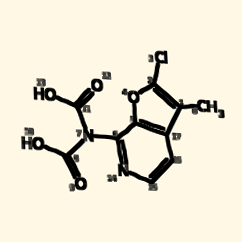 Cc1c(Cl)oc2c(N(C(=O)O)C(=O)O)nccc12